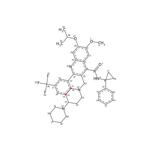 COc1cc2c(C(=O)NC3(c4ccccc4)CC3)c(CN3CCC(N4CCCCC4)CC3)c(-c3cccc(C(F)(F)F)c3)nc2cc1OC(C)C